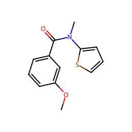 COc1cccc(C(=O)N(C)c2cccs2)c1